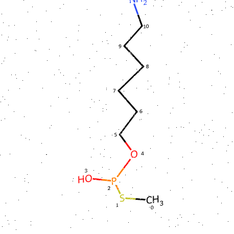 CSP(O)OCCCCCCN